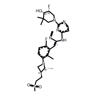 C=N/C(=C\c1c(F)ccc(N2C[C@H](CCS(C)(=O)=O)[C@H]2C)c1C)Nc1ccnc(N2C[C@@H](F)[C@@H](O)C(C)(C)C2)n1